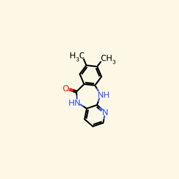 Cc1cc2c(cc1C)C(=O)Nc1cccnc1N2